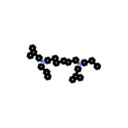 c1ccc(-c2cccc(-c3ccc(N(c4ccc(-c5cc6ccccc6c6ccccc56)cc4)c4cccc(-c5ccc6cc(-c7cccc8c(-c9ccc(N(c%10ccc(-c%11cc%12ccccc%12c%12ccccc%11%12)cc%10)c%10cccc(-c%11ccc%12ccccc%12c%11)c%10)cc9)cccc78)ccc6c5)c4)cc3)c2)cc1